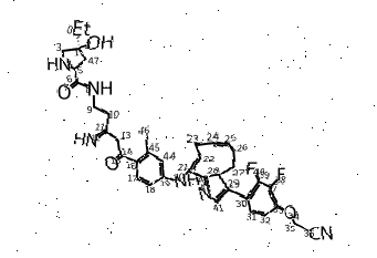 CC[C@@]1(O)CN[C@H](C(=O)NCCC(=N)CC(=O)c2ccc(N/C3=C\C/C=C\CCC4C(c5ccc(OCC#N)c(F)c5F)=CN=C34)cc2C)C1